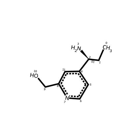 CC[C@H](N)c1ccnc(CO)c1